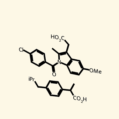 CC(C)Cc1ccc(C(C)C(=O)O)cc1.COc1ccc2c(c1)c(CC(=O)O)c(C)n2C(=O)c1ccc(Cl)cc1